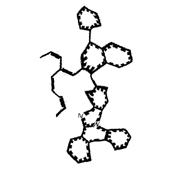 C\C=C/C=C\C(\C=C/C)=C\c1cc(-c2ccccc2)c2ccccc2c1-c1ccc2c(c1)nc1c3ccccc3c3ccccc3n21